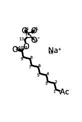 CC(=O)CCCCCCCCCC(=O)OCS(=O)(=O)[O-].[Na+]